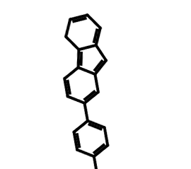 Brc1ccc(-c2ccc3c(c2)=CC2=CC=CCC=32)cc1